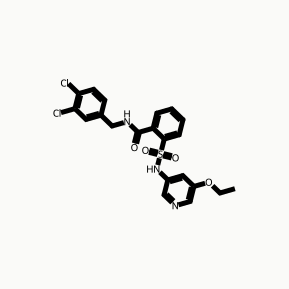 CCOc1cncc(NS(=O)(=O)c2ccccc2C(=O)NCc2ccc(Cl)c(Cl)c2)c1